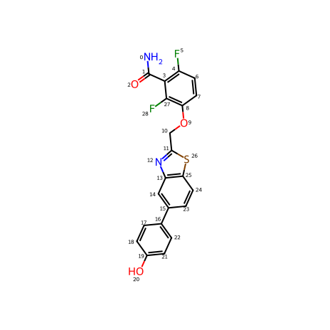 NC(=O)c1c(F)ccc(OCc2nc3cc(-c4ccc(O)cc4)ccc3s2)c1F